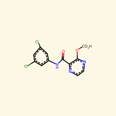 O=C(O)Oc1nccnc1C(=O)Nc1cc(Cl)cc(Cl)c1